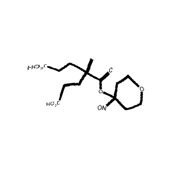 CC(CCC(=O)O)(CCC(=O)O)C(=O)OC1(N=O)CCOCC1